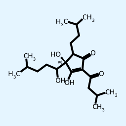 CC(C)CCC(O)[C@@]1(O)C(O)=C(C(=O)CC(C)C)C(=O)C1CCC(C)C